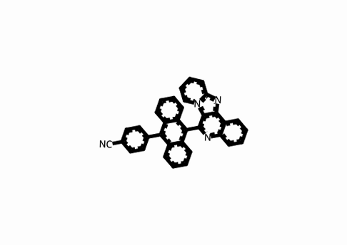 N#Cc1ccc(-c2c3ccccc3c(-c3nc4ccccc4c4nc5ccccn5c34)c3ccccc23)cc1